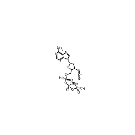 [N-]=[N+]=N[C@@H]1C[C@H](n2cnc3c(N)ncnc32)O[C@@H]1COP(=O)(O)OP(=O)(O)OP(=O)(O)O